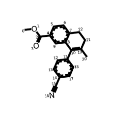 COC(=O)c1ccc2c(c1)C(c1ccc(C#N)cc1)=C(C)CC2